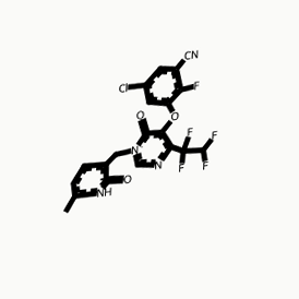 Cc1ccc(Cn2cnc(C(F)(F)C(F)F)c(Oc3cc(Cl)cc(C#N)c3F)c2=O)c(=O)[nH]1